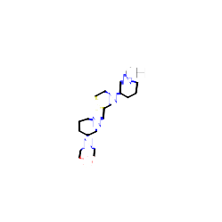 CN1CCCC(N2CCSC(CN3CCCC(N4CCOCC4)C3)C2)C1